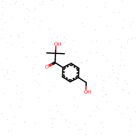 CC(C)(O)C(=O)c1ccc(CO)cc1